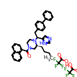 CCCC[C@H]1CN(C(=O)c2cccc3ccccc23)CCN1C(Cc1ccc(-c2ccccc2)cc1)c1cnc[nH]1.O=C(O)C(F)(F)F.O=C(O)C(F)(F)F